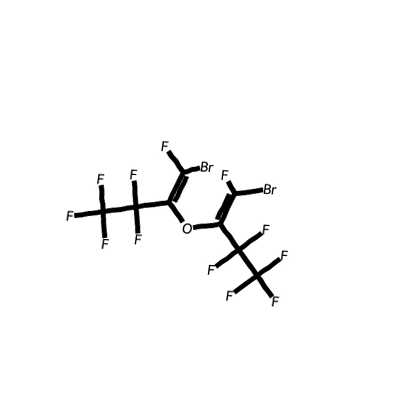 FC(Br)=C(OC(=C(F)Br)C(F)(F)C(F)(F)F)C(F)(F)C(F)(F)F